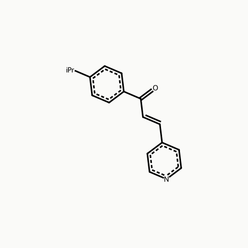 CC(C)c1ccc(C(=O)/C=C/c2ccncc2)cc1